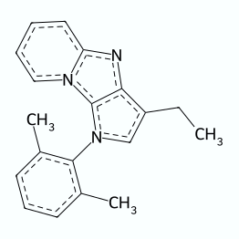 CCc1cn(-c2c(C)cccc2C)c2c1nc1ccccn12